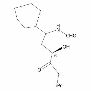 CC(C)CC(=O)[C@H](O)CC(NC=O)C1CCCCC1